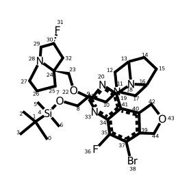 CC(C)(C)[Si](C)(C)OCCCN1CC2CCC(C1)N2c1nc(OC[C@@]23CCCN2C[C@H](F)C3)nc2c(F)c(Br)c3c(c12)COC3